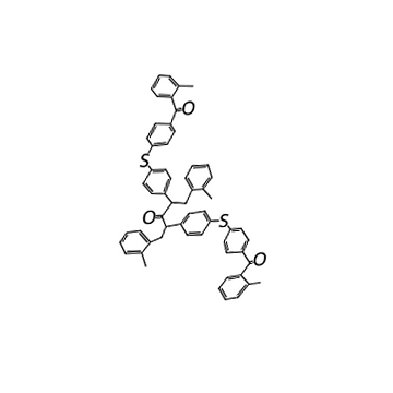 Cc1ccccc1CC(C(=O)C(Cc1ccccc1C)c1ccc(Sc2ccc(C(=O)c3ccccc3C)cc2)cc1)c1ccc(Sc2ccc(C(=O)c3ccccc3C)cc2)cc1